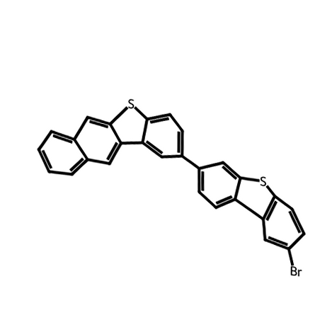 Brc1ccc2sc3cc(-c4ccc5sc6cc7ccccc7cc6c5c4)ccc3c2c1